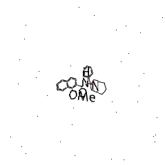 COc1c(C(=O)NC2CC3CCCC(C2)N3Cc2ccccc2)ccc2ccccc12